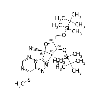 CSc1ncnn2c([C@]3(C#N)O[C@H](CO[Si](C)(C)C(C)(C)C)[C@@H](O[Si](C)(C)C(C)(C)C)[C@@]3(C)C#N)cnc12